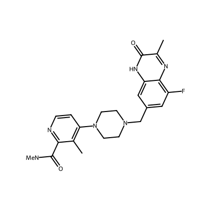 CNC(=O)c1nccc(N2CCN(Cc3cc(F)c4nc(C)c(=O)[nH]c4c3)CC2)c1C